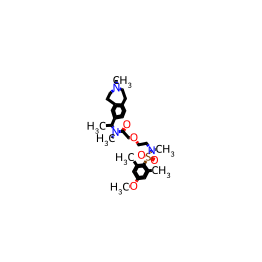 COc1cc(C)c(S(=O)(=O)N(C)CCOCC(=O)N(C)C(C)c2ccc3c(c2)CCN(C)CC3)c(C)c1